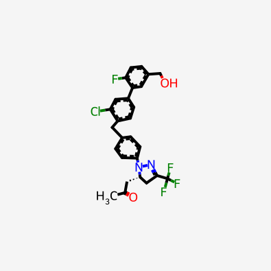 CC(=O)C[C@H]1CC(C(F)(F)F)=NN1c1ccc(Cc2ccc(-c3cc(CO)ccc3F)cc2Cl)cc1